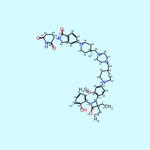 CCC1(CC)C(=O)N(c2cccc(F)c2O)[C@H]1c1ccc(N2CCC(CN3CCN(CC4(F)CCN(c5ccc6c(c5)CN([C@H]5CCC(=O)NC5=O)C6=O)CC4)CC3)CC2)cc1OC